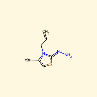 C=CCn1c(C(C)(C)C)csc1=NN